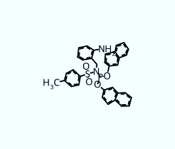 Cc1ccc(S(=O)(=O)N(Cc2ccccc2N)P(Oc2ccc3ccccc3c2)Oc2ccc3ccccc3c2)cc1